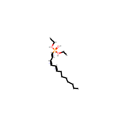 CCCCCCC/C=C/C=C\C=C\P(=O)(OCC)OCC